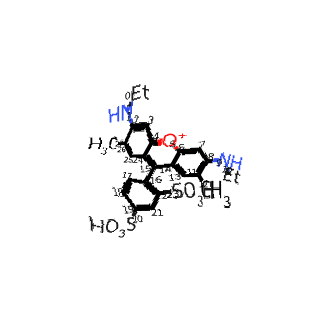 CCNc1cc2[o+]c3cc(NCC)c(C)cc3c(-c3ccc(S(=O)(=O)O)cc3S(=O)(=O)O)c2cc1C